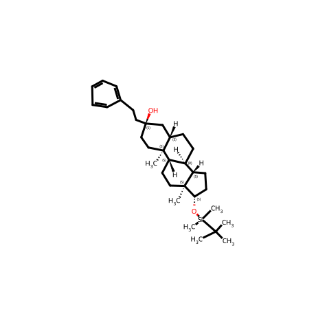 CC(C)(C)[Si](C)(C)O[C@H]1CC[C@H]2[C@@H]3CC[C@H]4C[C@@](O)(CCc5ccccc5)CC[C@]4(C)[C@H]3CC[C@]12C